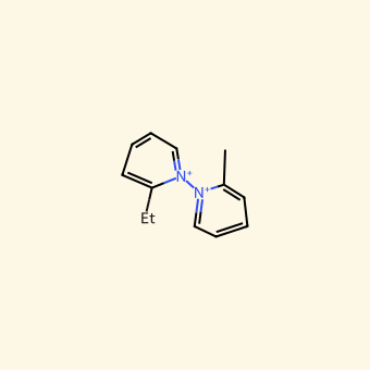 CCc1cccc[n+]1-[n+]1ccccc1C